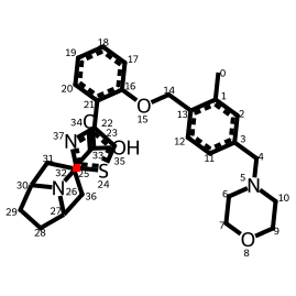 Cc1cc(CN2CCOCC2)ccc1COc1ccccc1-c1csc(N2C3CCC2CC(C(=O)O)C3)n1